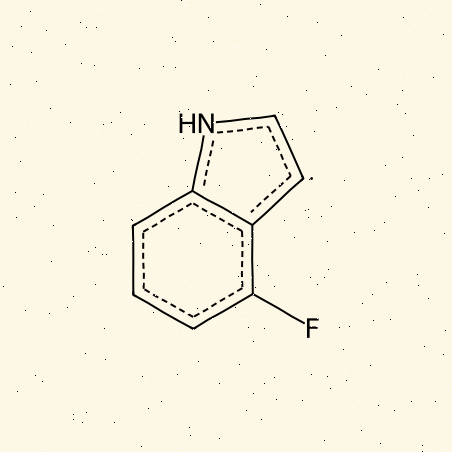 Fc1cccc2[nH]c[c]c12